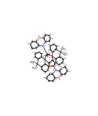 CC1(C)c2ccccc2C2(c3ccccc31)c1cc(N3c4ccccc4Oc4ccccc43)sc1C1(c3ccccc3C(C)(C)c3ccccc31)c1cc(N3c4ccccc4Oc4ccccc43)sc12